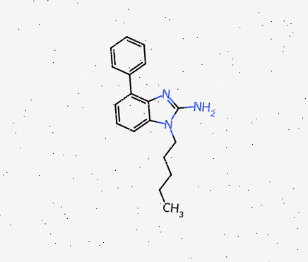 CCCCCn1c(N)nc2c(-c3ccccc3)cccc21